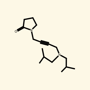 CC(C)CN(CC#CCN1CCCC1=O)CC(C)C